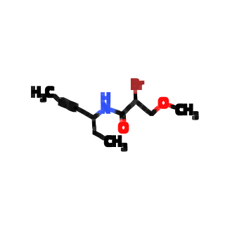 CC#CC(CC)NC(=O)C(Br)COC